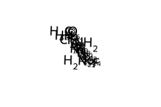 CS(=N)(=O)c1cccc(Sc2ncc(N3CCC4(CC3)Cc3cc(F)ccc3[C@H]4N)nc2N)c1Cl